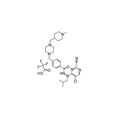 CC(C)CN(NC(=O)c1ccc(CN2CCN(CC3CCN(C)CC3)CC2)cc1)c1nc(C#N)ncc1Cl.O=C(O)C(F)(F)F